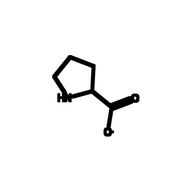 [O]C(=O)C1CCCN1